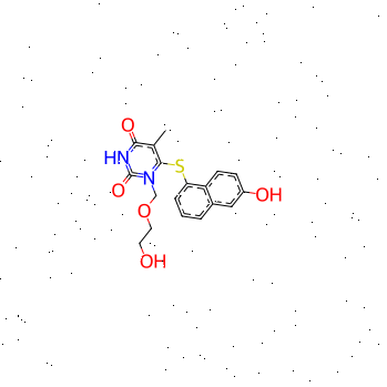 Cc1c(Sc2cccc3cc(O)ccc23)n(COCCO)c(=O)[nH]c1=O